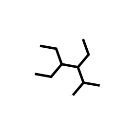 [CH2]C(C)C(CC)C(CC)CC